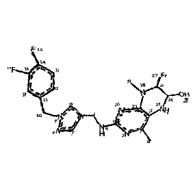 Cc1nc(NCc2cnn(Cc3ccc(F)c(F)c3)c2)nc2c1NC(O)C(C(C)C)N2C